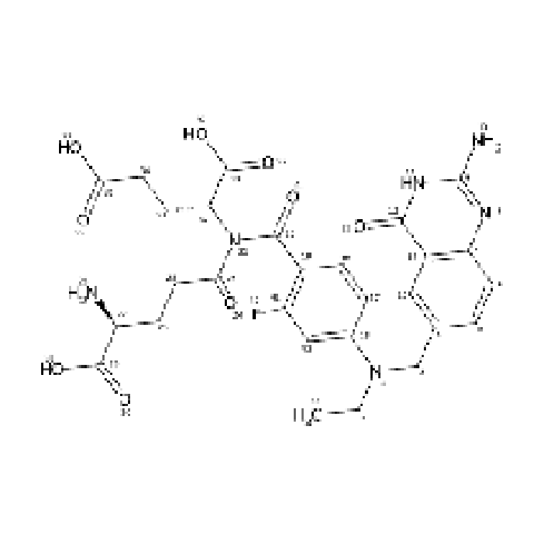 CCN(Cc1ccc2nc(N)[nH]c(=O)c2c1)c1ccc(C(=O)N(C(=O)CC[C@H](N)C(=O)O)[C@H](CCC(=O)O)C(=O)O)c(F)c1